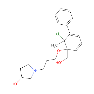 CC1(Cl)C(c2ccccc2)=CC=CC1(CO)OCCCN1CC[C@@H](O)C1